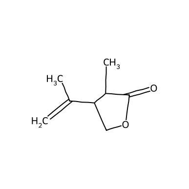 C=C(C)C1COC(=O)C1C